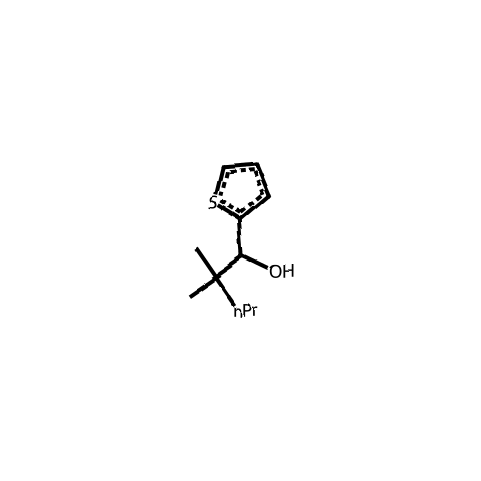 CCCC(C)(C)C(O)c1cccs1